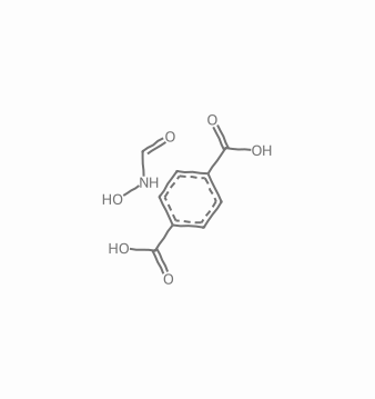 O=C(O)c1ccc(C(=O)O)cc1.O=CNO